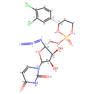 [N-]=[N+]=N[C@]1(COP2(=O)OCC[C@@H](c3ccc(Cl)c(Cl)c3)O2)OC(n2ccc(=O)[nH]c2=O)[C@H](O)[C@@H]1O